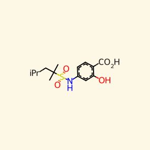 CC(C)CC(C)(C)S(=O)(=O)Nc1ccc(C(=O)O)c(O)c1